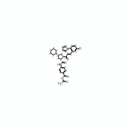 O=C(OC(=O)C(F)(F)F)c1ccc(NC(=O)[C@@H]2C[C@H](N3CCOCC3)CN2C(=O)/C=C/c2cc(Cl)ccc2-n2cnnn2)cc1